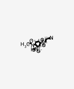 CC(=O)Nc1ccc(S(=O)(=O)C=CC#N)cc1[N+](=O)[O-]